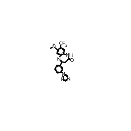 CN(C)c1cc2c(cc1C(F)(F)F)NC(=O)CC(c1cccc(-n3cncn3)c1)=N2